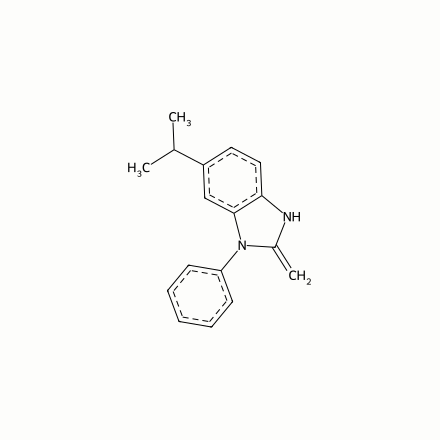 C=C1Nc2ccc(C(C)C)cc2N1c1ccccc1